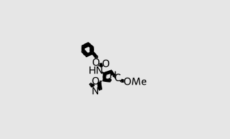 COCCN1C[C@H](NC(=O)OCc2ccccc2)[C@@H](c2cnco2)C1